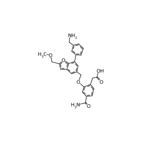 COCc1cc2cc(COc3cc(C(N)=O)ccc3CC(=O)O)cc(-c3cccc(CN)c3)c2o1